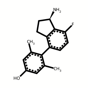 Cc1cc(O)cc(C)c1-c1ccc(F)c2c1CC[C@H]2N